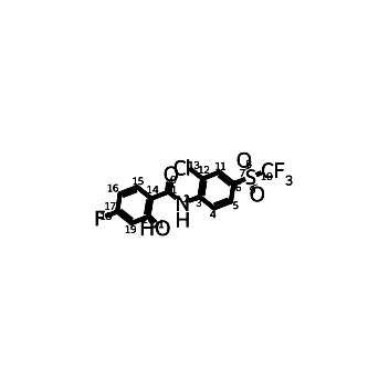 O=C(Nc1ccc(S(=O)(=O)C(F)(F)F)cc1Cl)c1ccc(F)cc1O